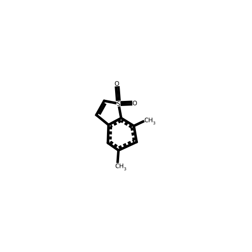 Cc1cc(C)c2c(c1)C=CS2(=O)=O